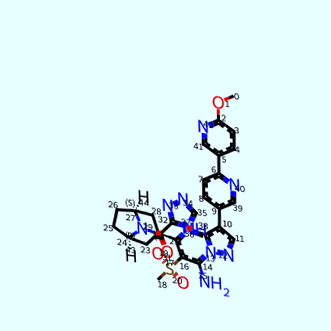 COc1ccc(-c2ccc(-c3cnn4c(N)c(S(C)(=O)=O)c([C@H]5C[C@H]6CC[C@@H](C5)N6C(=O)c5nnc[nH]5)nc34)cn2)cn1